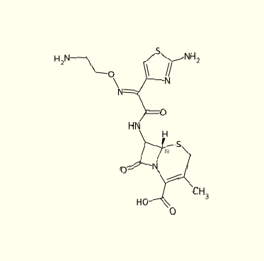 CC1=C(C(=O)O)N2C(=O)C(NC(=O)C(=NOCCN)c3csc(N)n3)[C@@H]2SC1